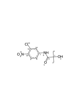 CC(C)(O)C(=O)Nc1ccc([N+](=O)[O-])c(Cl)c1